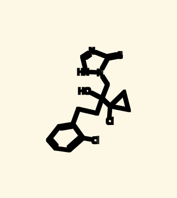 OC(CCc1ccccc1Cl)(Cn1[nH]cnc1=S)C1(Cl)CC1